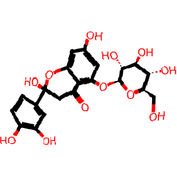 O=C1CC(O)(c2ccc(O)c(O)c2)Oc2cc(O)cc(O[C@@H]3O[C@H](CO)[C@@H](O)[C@H](O)[C@H]3O)c21